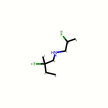 CCC(C)(F)CNCC(C)F